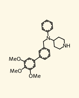 COc1cc(-c2cccc(CN(c3ccccc3)C3CCNCC3)c2)cc(OC)c1OC